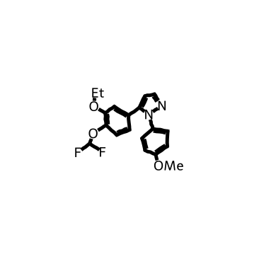 CCOc1cc(-c2ccnn2-c2ccc(OC)cc2)ccc1OC(F)F